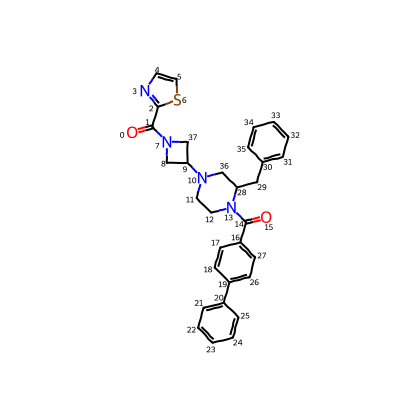 O=C(c1nccs1)N1CC(N2CCN(C(=O)c3ccc(-c4ccccc4)cc3)C(Cc3ccccc3)C2)C1